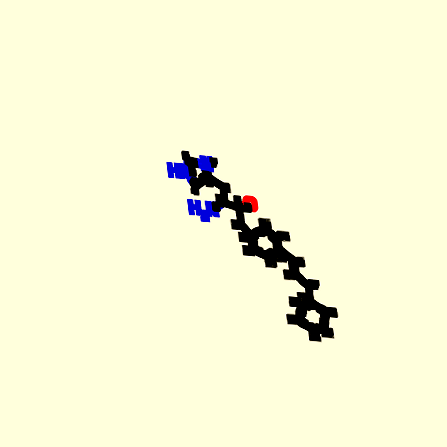 NC(Cc1c[nH]cn1)C(=O)Cc1ccc(/C=C/Cc2ccccc2)cc1